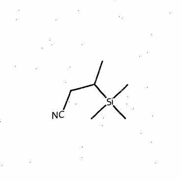 CC(CC#N)[Si](C)(C)C